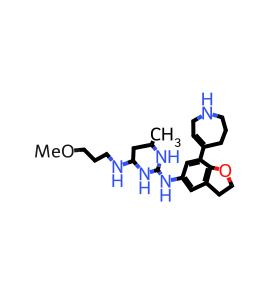 COCCCNC1CC(C)NC(Nc2cc3c(c(C4=CCNCCC4)c2)OCC3)N1